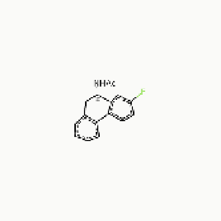 CC(=O)N[C@H]1Cc2ccccc2-c2ccc(F)cc21